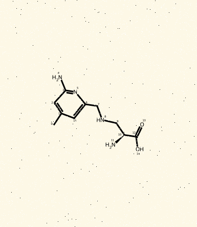 Cc1cc(N)nc(CNC[C@H](N)C(=O)O)c1